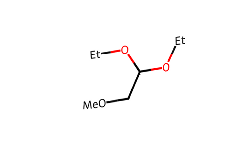 CCO[C](COC)OCC